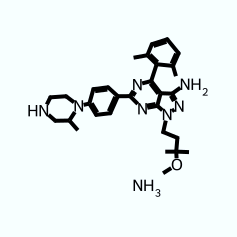 COC(C)(C)CCn1nc(N)c2c(-c3c(C)cccc3C)nc(-c3ccc(N4CCNCC4C)cc3)nc21.N